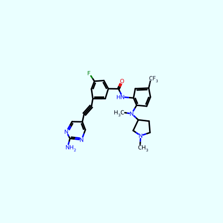 CN1CCC(N(C)c2ccc(C(F)(F)F)cc2NC(=O)c2cc(F)cc(C#Cc3cnc(N)nc3)c2)C1